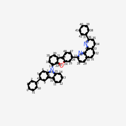 c1ccc(-c2ccc3c(c2)c2ccccc2n3-c2cccc3c2oc2cc(-c4ccc5ccc6ccc(-c7ccccc7)nc6c5n4)ccc23)cc1